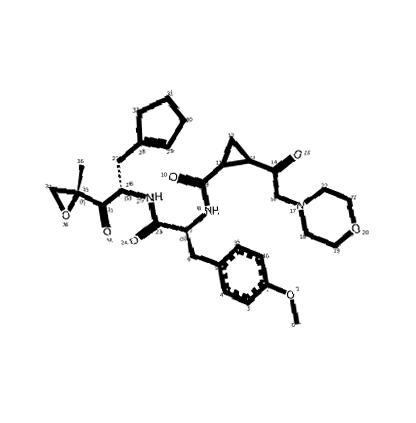 COc1ccc(C[C@H](NC(=O)C2CC2C(=O)CN2CCOCC2)C(=O)N[C@@H](CC2=CCCC2)C(=O)[C@@]2(C)CO2)cc1